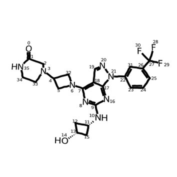 O=C1CN(C2CN(c3nc(N[C@H]4C[C@@H](O)C4)nc4c3cnn4-c3cccc(C(F)(F)F)c3)C2)CCN1